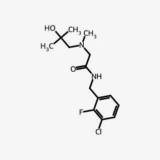 CN(CC(=O)NCc1cccc(Cl)c1F)CC(C)(C)O